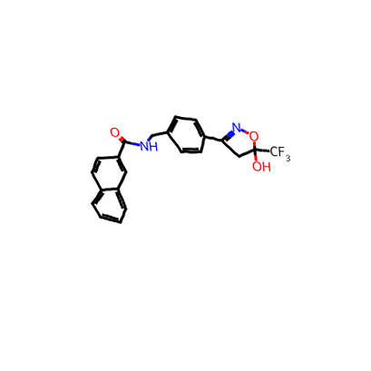 O=C(NCc1ccc(C2=NOC(O)(C(F)(F)F)C2)cc1)c1ccc2ccccc2c1